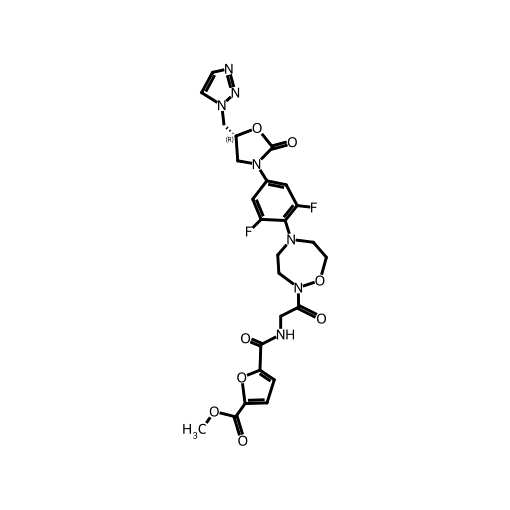 COC(=O)c1ccc(C(=O)NCC(=O)N2CCN(c3c(F)cc(N4C[C@H](Cn5ccnn5)OC4=O)cc3F)CCO2)o1